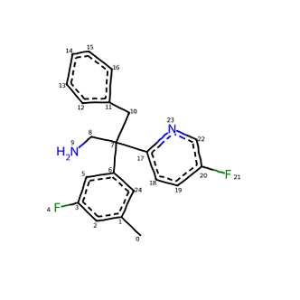 Cc1cc(F)cc(C(CN)(Cc2ccccc2)c2ccc(F)cn2)c1